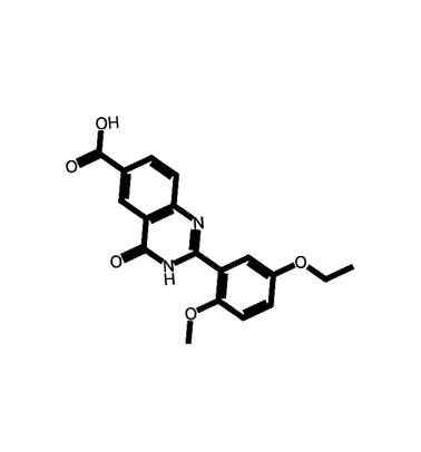 CCOc1ccc(OC)c(-c2nc3ccc(C(=O)O)cc3c(=O)[nH]2)c1